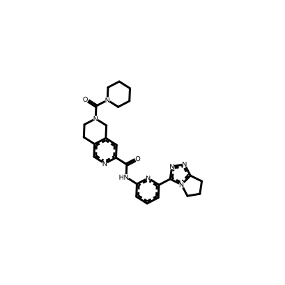 O=C(Nc1cccc(-c2nnc3n2CCC3)n1)c1cc2c(cn1)CCN(C(=O)N1CCCCC1)C2